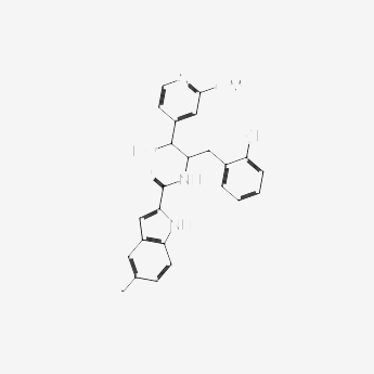 COc1cc(C(O)C(Cc2ccccc2Cl)NC(=O)c2cc3cc(Cl)ccc3[nH]2)ccn1